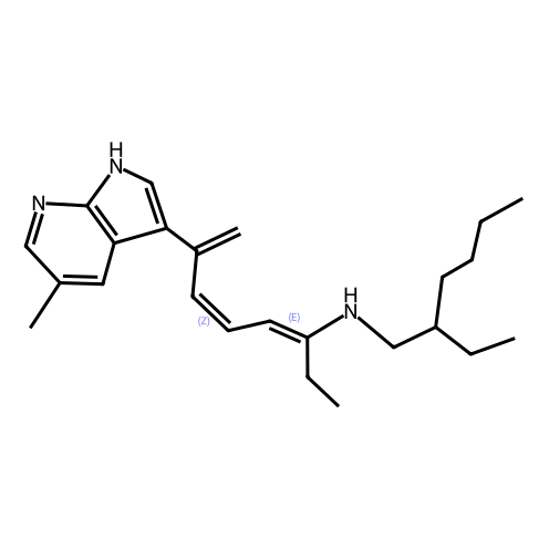 C=C(/C=C\C=C(/CC)NCC(CC)CCCC)c1c[nH]c2ncc(C)cc12